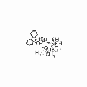 CC(C)(C)[Si](C)(C)OC[C@@H](CC#C[Si](C)(C)C)O[Si](c1ccccc1)(c1ccccc1)C(C)(C)C